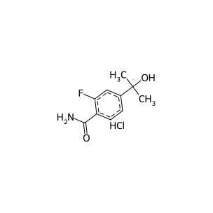 CC(C)(O)c1ccc(C(N)=O)c(F)c1.Cl